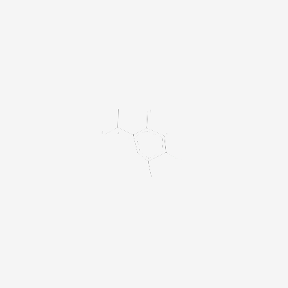 Cc1cc(C(C)C)c(C)cc1Br